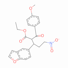 CCOC(=O)C(C(=O)c1ccc(OC)cc1)C(CC[N+](=O)[O-])c1ccc2occc2c1